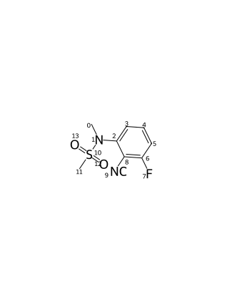 CN(c1cccc(F)c1C#N)S(C)(=O)=O